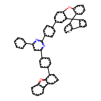 c1ccc(-c2cc(-c3ccc(-c4cccc5c4oc4ccccc45)cc3)nc(-c3ccc(-c4ccc5c(c4)C4(c6ccccc6O5)c5ccccc5-c5ccccc54)cc3)n2)cc1